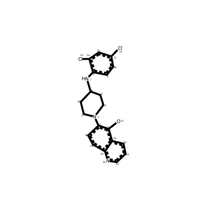 [O]c1c(N2CCC(Nc3ccc(Cl)cc3Cl)CC2)ccc2ncccc12